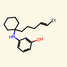 CCC=CCCCC1(Nc2cccc(O)c2)CCCCC1